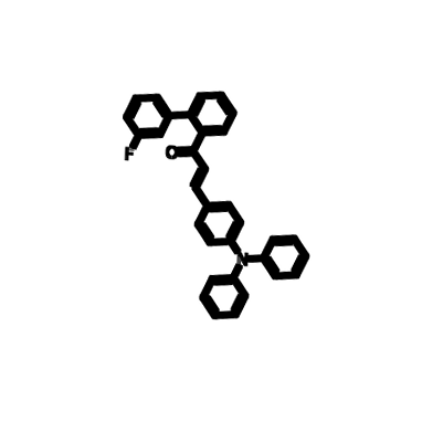 O=C(C=Cc1ccc(N(c2ccccc2)c2ccccc2)cc1)c1ccccc1-c1cccc(F)c1